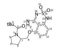 CC(C)(C)C(=O)N1CCCC1COc1cccc2c1C(N)=NS(=O)(=O)N2